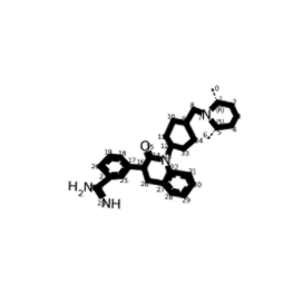 C[C@@H]1CCC[C@H](C)N1CC1CCC(N2C(=O)C(c3cccc(C(=N)N)c3)Cc3ccccc32)CC1